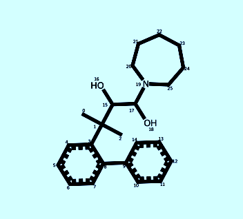 CC(C)(c1ccccc1-c1ccccc1)C(O)C(O)N1CCCCCC1